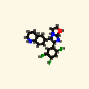 Fc1cc(F)c(-c2nc3occn3c2-c2ccc3ncccc3c2)cc1F